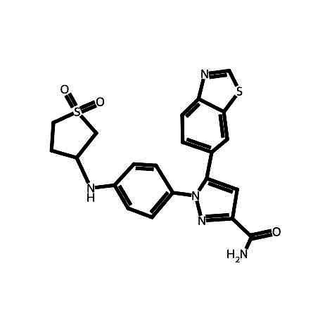 NC(=O)c1cc(-c2ccc3ncsc3c2)n(-c2ccc(NC3CCS(=O)(=O)C3)cc2)n1